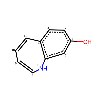 Oc1ccc2c(c1)NC=CC=C2